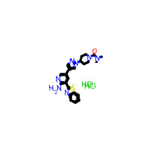 CN(C)C(=O)N1CCC(n2cc(-c3cnc(N)c(-c4nc5ccccc5s4)c3)cn2)CC1.Cl.Cl